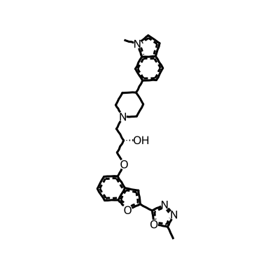 Cc1nnc(-c2cc3c(OC[C@@H](O)CN4CCC(c5ccc6ccn(C)c6c5)CC4)cccc3o2)o1